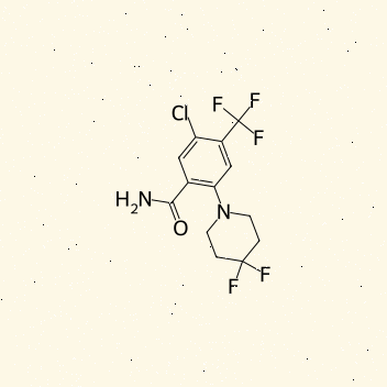 NC(=O)c1cc(Cl)c(C(F)(F)F)cc1N1CCC(F)(F)CC1